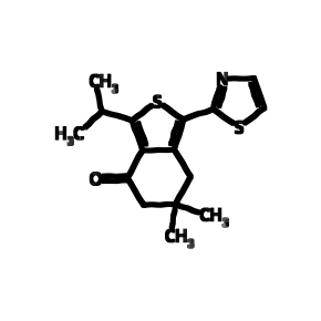 CC(C)c1sc(-c2nccs2)c2c1C(=O)CC(C)(C)C2